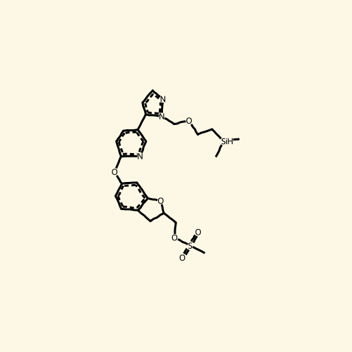 C[SiH](C)CCOCn1nccc1-c1ccc(Oc2ccc3c(c2)OC(COS(C)(=O)=O)C3)nc1